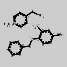 N.NCc1ccncc1.Nc1cc(Br)ccc1OCc1ccccc1